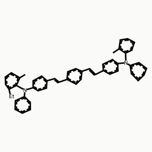 CCc1cccc(C)c1N(c1ccccc1)c1ccc(C=Cc2ccc(C=Cc3ccc(N(c4ccccc4)c4ccccc4C)cc3)cc2)cc1